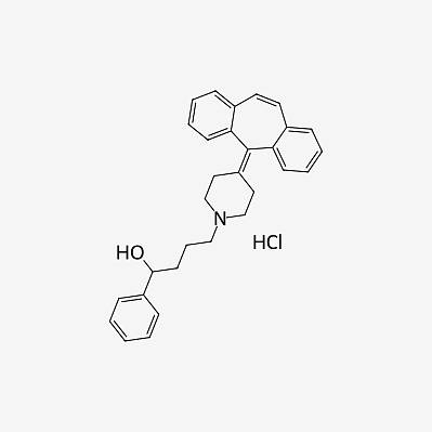 Cl.OC(CCCN1CCC(=C2c3ccccc3C=Cc3ccccc32)CC1)c1ccccc1